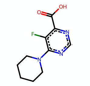 O=C(O)c1n[c]nc(N2CCCCC2)c1F